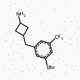 CC(C)(C)c1cc(CC2CC(N)C2)cc(C(F)(F)F)c1